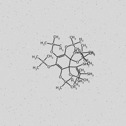 C[Si](C)(C)OC1=C(O[Si](C)(C)C)C(O[Si](C)(C)C)(O[Si](C)(C)C)C(O[Si](C)(C)C)(C([SiH3])=C([SiH3])[SiH3])C(O[Si](C)(C)C)=C1O[Si](C)(C)C